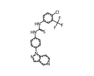 FC(F)(F)c1cc(NC(=S)Nc2ccc(-n3ncc4cnccc43)cc2)ccc1Cl